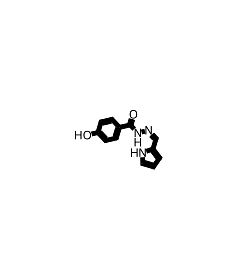 O=C(N/N=C\c1ccc[nH]1)c1ccc(O)cc1